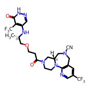 C[C@@H](COCCC(=O)N1CCN2c3ncc(C(F)(F)F)cc3CN(C#N)C[C@H]2C1)Nc1cn[nH]c(=O)c1C(F)(F)F